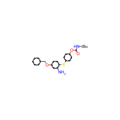 CC(C)(C)NC(=O)Oc1ccc(Sc2ccc(OCc3ccccc3)cc2N)cc1